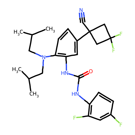 CC(C)CN(CC(C)C)c1ccc(C2(C#N)CC(F)(F)C2)cc1NC(=O)Nc1ccc(F)cc1F